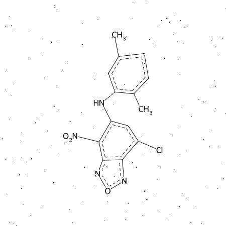 Cc1ccc(C)c(Nc2cc(Cl)c3nonc3c2[N+](=O)[O-])c1